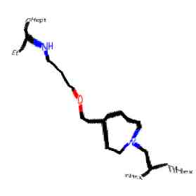 CCCCCCCC(CC)NCCCOCC1CCN(CC(CCCCCC)CCCCCC)CC1